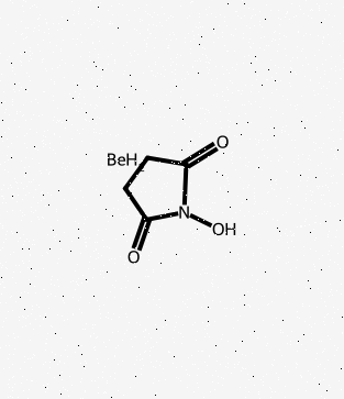 O=C1CCC(=O)N1O.[BeH2]